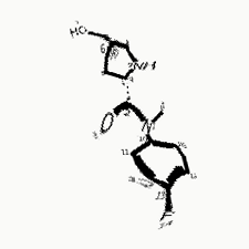 CN(C(=O)[C@@H]1C[C@@H](O)CN1)c1ccc(F)cc1